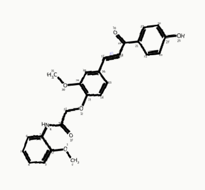 COc1ccccc1NC(=O)COc1ccc(/C=C/C(=O)c2ccc(O)cc2)cc1OC